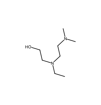 CCN(CCO)CCN(C)C